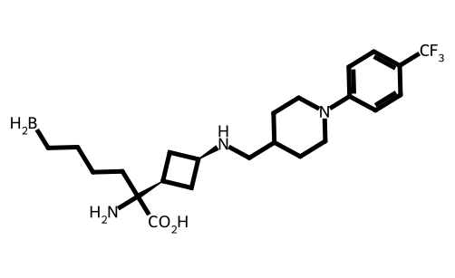 BCCCCC(N)(C(=O)O)[C@H]1C[C@@H](NCC2CCN(c3ccc(C(F)(F)F)cc3)CC2)C1